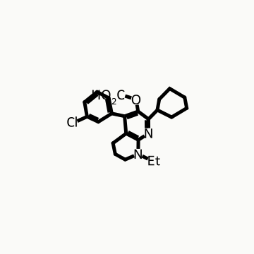 CCN1CCCc2c1nc(C1CCCCC1)c(OC(=O)O)c2-c1cccc(Cl)c1